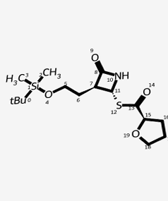 CC(C)(C)[Si](C)(C)OCC[C@H]1C(=O)N[C@@H]1SC(=O)[C@H]1CCCO1